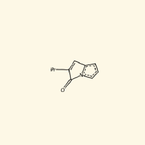 CC(C)C1=Cc2cccn2C1=O